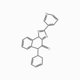 O=C1C2=NC(c3cccnc3)=NC2c2ccccc2C1C1C=CC=CC1